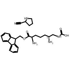 N#CC1CCCN1.NC(CCC[C@H](N)CNC(=O)O)C(=O)OCC1c2ccccc2-c2ccccc21